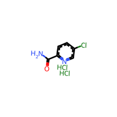 Cl.Cl.NC(=O)c1ccc(Cl)cn1